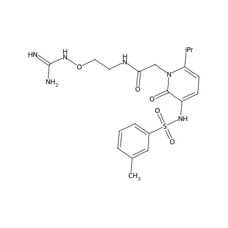 Cc1cccc(S(=O)(=O)Nc2ccc(C(C)C)n(CC(=O)NCCONC(=N)N)c2=O)c1